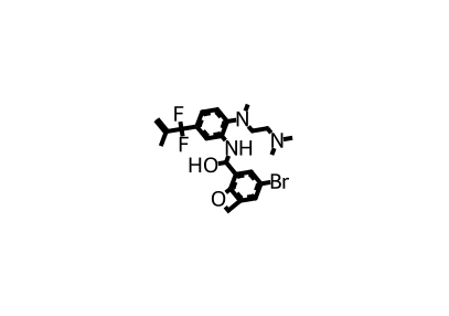 C=C(C)C(F)(F)c1ccc(N(C)CCN(C)C)c(NC(O)c2cc(Br)cc3c2OC3)c1